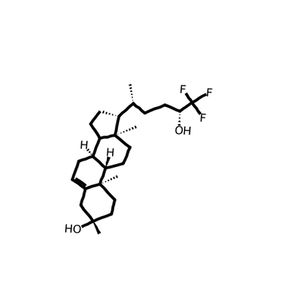 C[C@H](CC[C@@H](O)C(F)(F)F)[C@H]1CCC2[C@@H]3CC=C4C[C@@](C)(O)CC[C@]4(C)[C@H]3CC[C@@]21C